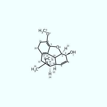 COC1=C2O[C@H]3[C@@H](O)C=C[C@H]4[C@H]5CC(=C2[C@]43CCN5C)CC1